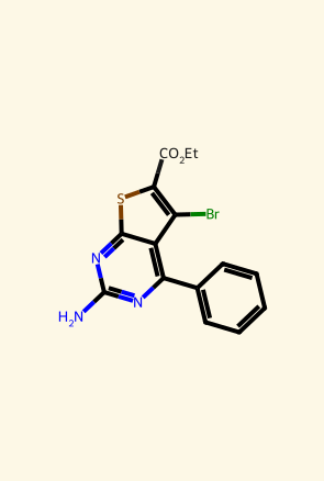 CCOC(=O)c1sc2nc(N)nc(-c3ccccc3)c2c1Br